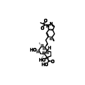 C[C@@H]1[C@@H](CCC2=Cc3c(cnn3S(C)(=O)=O)C[C@H]2C)[C@@H]2CC[C@](O)(C(=O)O)[C@@]2(C)C[C@@H]1O